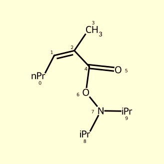 CCCC=C(C)C(=O)ON(C(C)C)C(C)C